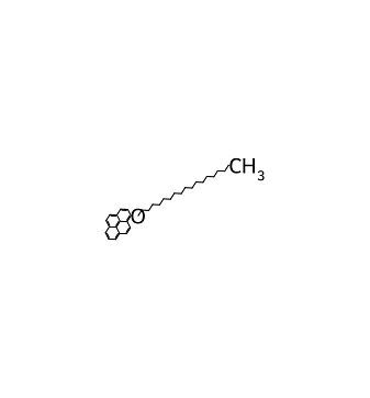 CCCCCCCCCCCCCCCCCCOc1ccc2ccc3cccc4ccc1c2c34